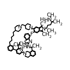 C=CNC(=C)CCC(C)n1c(=C)c2cc(F)c(N3CCC(CN4CCC(CCCCCc5cccc(-c6ccc(N7CCc8cccc(C(=C)Nc9nc%10ccccc%10s9)c8C7)nc6C=C)c5C)CC4)CC3)cc2c1=C